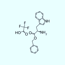 N[C@H](Cc1c[nH]c2ccccc12)C(=O)OCc1ccccc1.O=C(O)C(F)(F)F